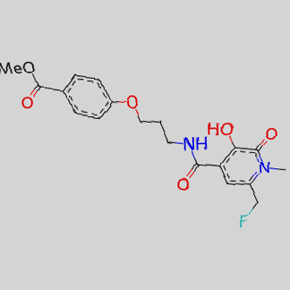 COC(=O)c1ccc(OCCCNC(=O)c2cc(CF)n(C)c(=O)c2O)cc1